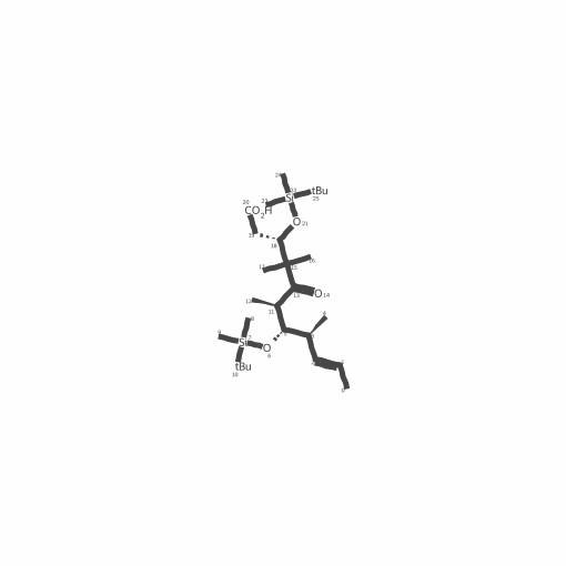 CC=C[C@H](C)[C@H](O[Si](C)(C)C(C)(C)C)[C@@H](C)C(=O)C(C)(C)[C@H](CC(=O)O)O[Si](C)(C)C(C)(C)C